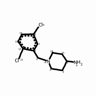 NC1CCN(Cc2cc(Cl)ccc2Cl)CC1